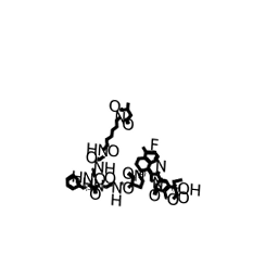 CC[C@@]1(O)C(=O)OCc2c1cc1n(c2=O)Cc2c-1nc1cc(F)c(C)c3c1c2[C@@H](N1CCC(OCNC(=O)CNC(=O)[C@H](Cc2ccccc2)NC(=O)CNC(=O)CNC(=O)CCCCCN2C(=O)CC(C)C2=O)C1=O)CC3